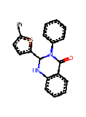 CC(C)c1ccc(C2Nc3ccccc3C(=O)N2c2ccccc2)s1